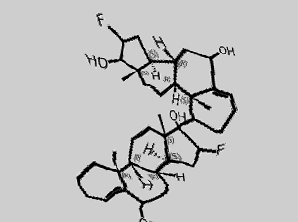 C[C@]12CCCC=C1C(O)C[C@@H]1[C@H]2CC[C@@]2(C)[C@H]1CC(F)C2(O)C1CCC=C2C(O)C[C@@H]3[C@@H](CC[C@]4(C)C(O)C(F)C[C@@H]34)[C@]21C